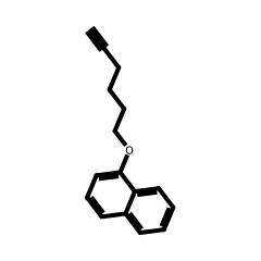 C#CCCCCOc1cccc2ccccc12